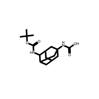 CC(C)(C)OC(=O)NC1C2CC3CC1CC(NC(=O)O)(C3)C2